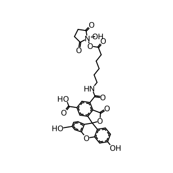 O=C(CCCCCNC(=O)c1cc(C(=O)O)cc2c1C(=O)OC21c2ccc(O)cc2Oc2cc(O)ccc21)O[N+]1(O)C(=O)CCC1=O